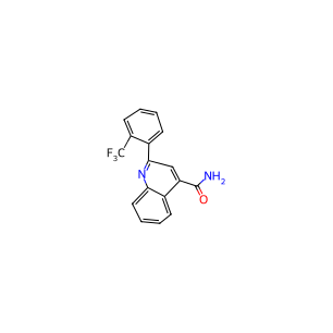 NC(=O)c1cc(-c2ccccc2C(F)(F)F)nc2ccccc12